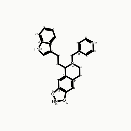 c1ccc2c(CCC3c4cc5c(cc4CCN3Cc3ccncc3)ONO5)c[nH]c2c1